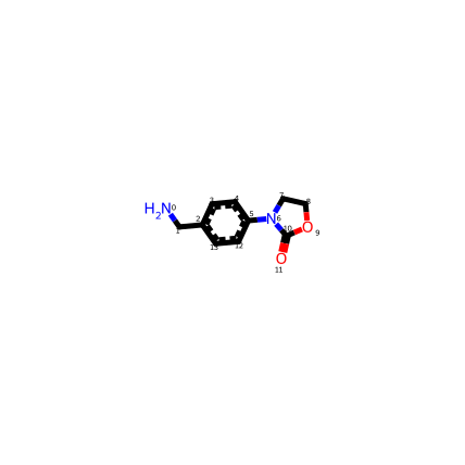 NCc1ccc(N2CCOC2=O)cc1